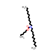 CCCCCCCCCCCCN(CCCCCCCCCCCC)C(=O)OCCCCCC